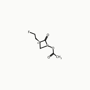 CC(=O)ON1C[C@@H](CCF)C1=O